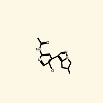 CC(=O)Nc1cc(-c2cnn3c2CC(C)C3)c(Cl)cn1